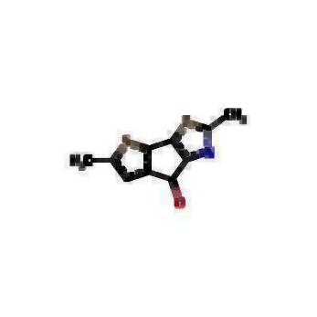 Cc1cc2c(s1)-c1sc(C)nc1C2=O